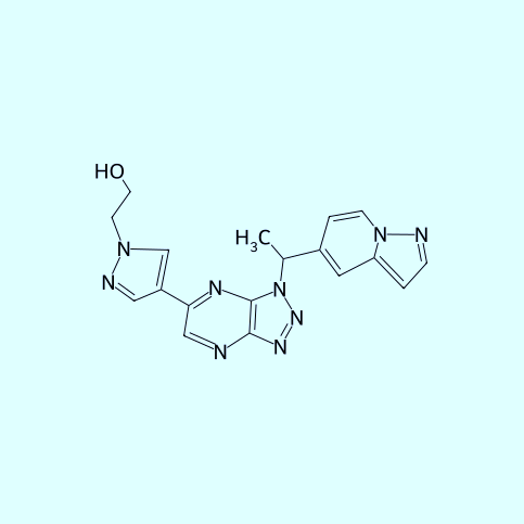 CC(c1ccn2nccc2c1)n1nnc2ncc(-c3cnn(CCO)c3)nc21